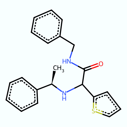 C[C@@H](NC(C(=O)NCc1ccccc1)c1cccs1)c1ccccc1